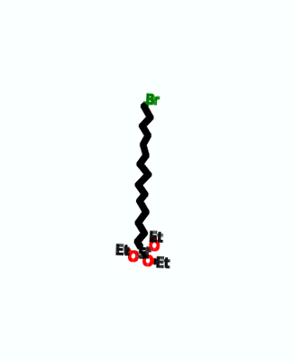 CCO[Si](CCCCCCCCCCCCCCCBr)(OCC)OCC